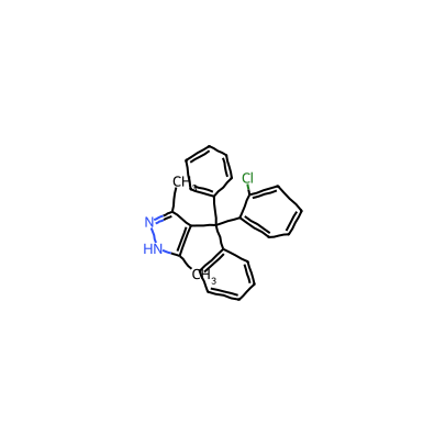 Cc1n[nH]c(C)c1C(c1ccccc1)(c1ccccc1)c1ccccc1Cl